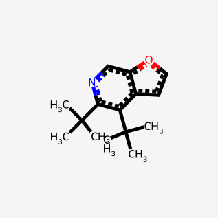 CC(C)(C)c1ncc2occc2c1C(C)(C)C